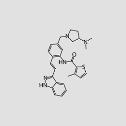 Cc1ccsc1C(=O)Nc1cc(CN2CCC(N(C)C)C2)ccc1/C=C/c1n[nH]c2ccccc12